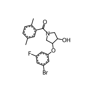 Cc1ccc(C)c(C(=O)N2CC(O)C(Oc3cc(F)cc(Br)c3)C2)c1